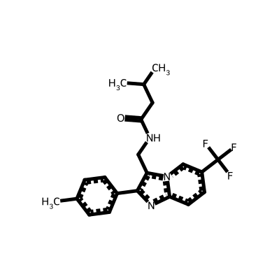 Cc1ccc(-c2nc3ccc(C(F)(F)F)cn3c2CNC(=O)CC(C)C)cc1